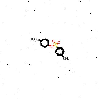 Cc1ccc(S(=O)(=O)OC2CCC(C(=O)O)CC2)cc1